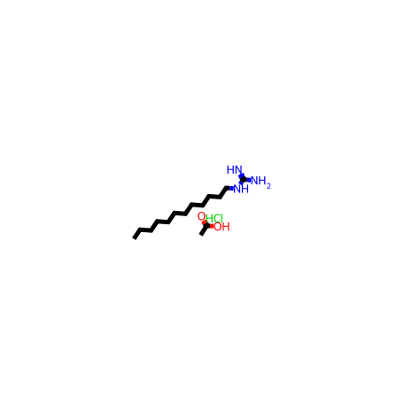 CC(=O)O.CCCCCCCCCCCCNC(=N)N.Cl